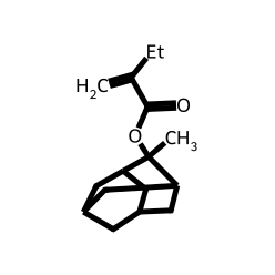 C=C(CC)C(=O)OC1(C)C2CC3CC(C2)CC1C3